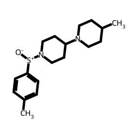 Cc1ccc([S+]([O-])N2CCC(N3CCC(C)CC3)CC2)cc1